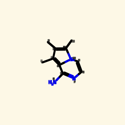 Cc1c(C)c2c(N)nccn2c1C